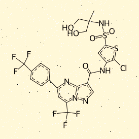 CC(CO)(CO)NS(=O)(=O)c1cc(NC(=O)c2cnn3c(C(F)(F)F)cc(-c4ccc(C(F)(F)F)cc4)nc23)c(Cl)s1